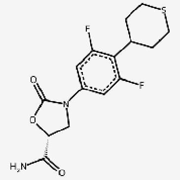 NC(=O)[C@H]1CN(c2cc(F)c(C3CCSCC3)c(F)c2)C(=O)O1